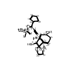 CCCCC1[C@H]2[C@H](C#C[C@@H](O[Si](C)(C)C(C)(C)C)C3CCCC3)[C@@H](O)CC[C@H]2C12OCCO2